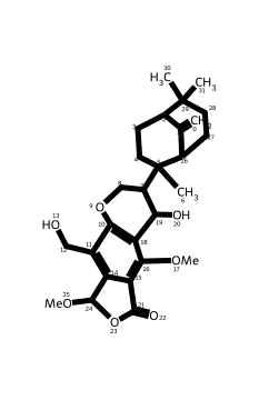 C=C1C2CCC(C)(C3COc4c(CO)c5c(c(OC)c4C3O)C(=O)OC5OC)C1CCC2(C)C